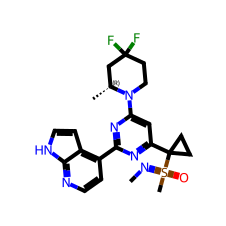 CN=S(C)(=O)C1(c2cc(N3CCC(F)(F)C[C@H]3C)nc(-c3ccnc4[nH]ccc34)n2)CC1